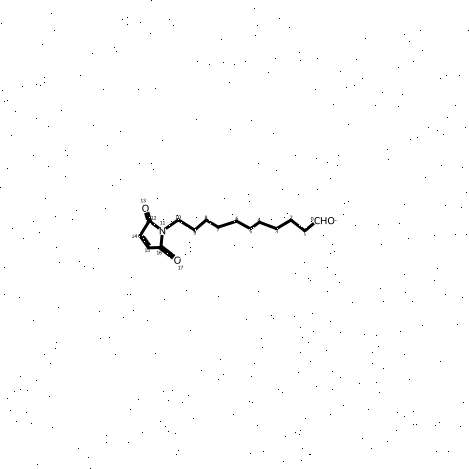 O=[C]CCCCCCCCCCN1C(=O)C=CC1=O